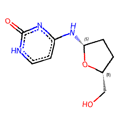 O=c1nc(N[C@@H]2CC[C@H](CO)O2)cc[nH]1